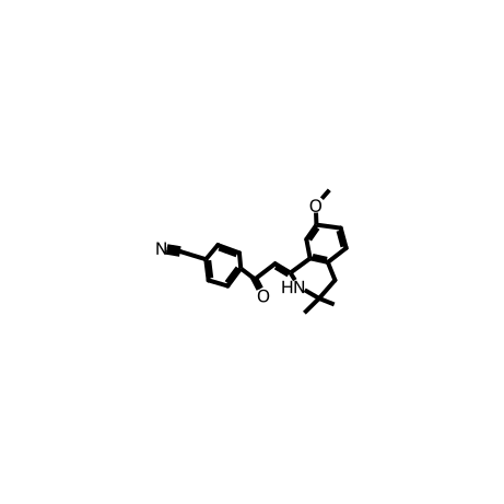 COc1ccc2c(c1)C(=CC(=O)c1ccc(C#N)cc1)NC(C)(C)C2